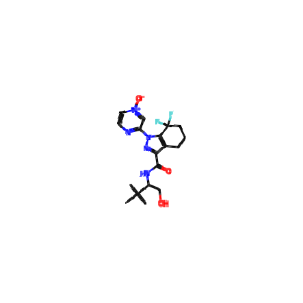 CC(C)(C)C(CO)NC(=O)c1nn(-c2c[n+]([O-])ccn2)c2c1CCCC2(F)F